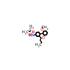 C=CCC1Oc2cccc(OC)c2-c2ccc(NS(=O)(=O)C(C)C)cc21